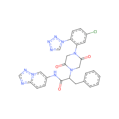 O=C(Nc1ccc2ncnn2c1)C(Cc1ccccc1)N1CC(=O)N(c2cc(Cl)ccc2-n2cnnn2)CC1=O